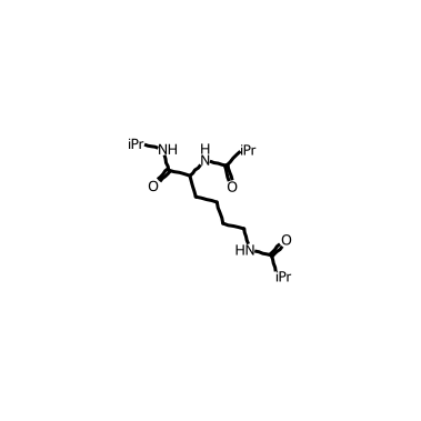 CC(C)NC(=O)C(CCCCNC(=O)C(C)C)NC(=O)C(C)C